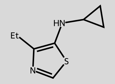 [CH2]Cc1ncsc1NC1CC1